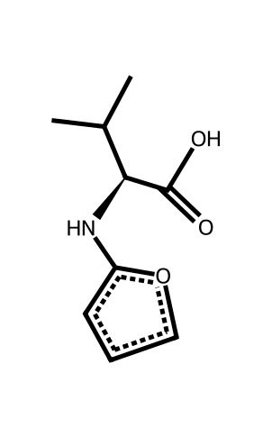 CC(C)[C@H](Nc1ccco1)C(=O)O